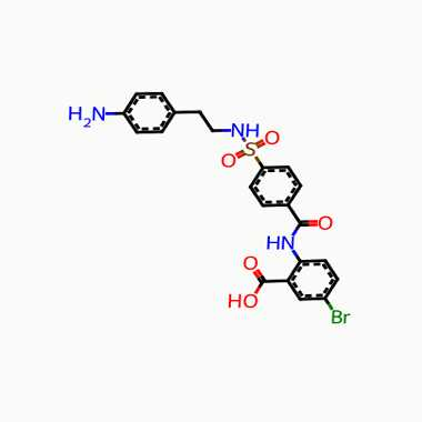 Nc1ccc(CCNS(=O)(=O)c2ccc(C(=O)Nc3ccc(Br)cc3C(=O)O)cc2)cc1